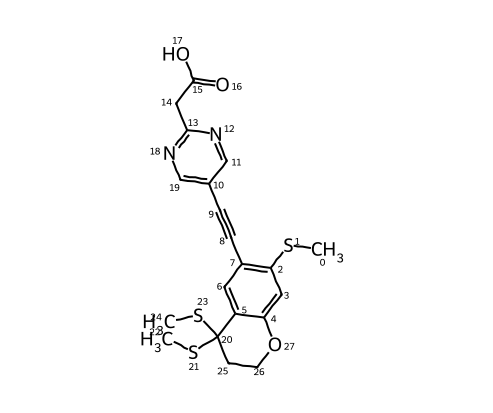 CSc1cc2c(cc1C#Cc1cnc(CC(=O)O)nc1)C(SC)(SC)CCO2